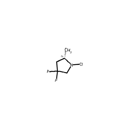 C[C@H]1CC(F)(F)CN1Cl